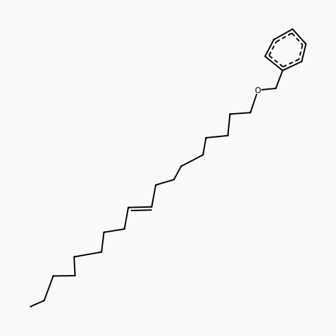 CCCCCCCCC=CCCCCCCCCOCc1ccccc1